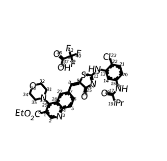 CCOC(=O)c1cnc2ccc(C=C3SC(Nc4cc(NC(=O)C(C)C)ccc4Cl)=NC3=O)cc2c1N1CCOCC1.O=C(O)C(F)(F)F